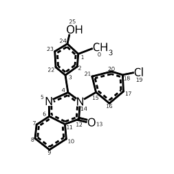 Cc1cc(-c2nc3ccccc3c(=O)n2-c2ccc(Cl)cc2)ccc1O